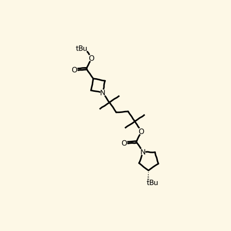 CC(C)(C)OC(=O)C1CN(C(C)(C)CCC(C)(C)OC(=O)N2CC[C@H](C(C)(C)C)C2)C1